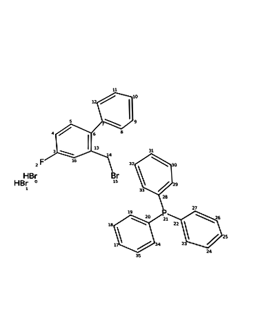 Br.Br.Fc1ccc(-c2ccccc2)c(CBr)c1.c1ccc(P(c2ccccc2)c2ccccc2)cc1